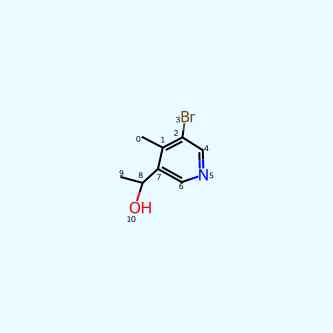 Cc1c(Br)cncc1C(C)O